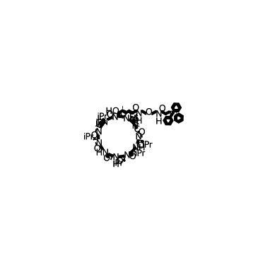 CC[C@@H]1NC(=O)[C@H]([C@H](O)[C@H](C)CC=CC(=O)NCCOCCNC(=O)CC[P+](c2ccccc2)(c2ccccc2)c2ccccc2)N(C)C(=O)[C@H](C(C)C)N(C)C(=O)[C@H](CC(C)C)N(C)C(=O)[C@H](CC(C)C)N(C)C(=O)[C@@H](C)NC(=O)[C@H](C)NC(=O)[C@H](CC(C)C)N(C)C(=O)[C@H](C(C)C)NC(=O)[C@H](CC(C)C)N(C)C(=O)CN(C)C1=O